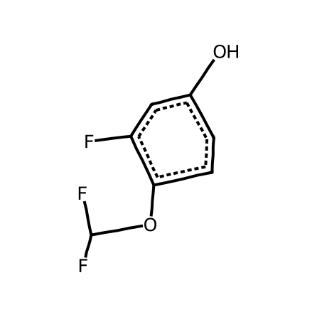 Oc1ccc(OC(F)F)c(F)c1